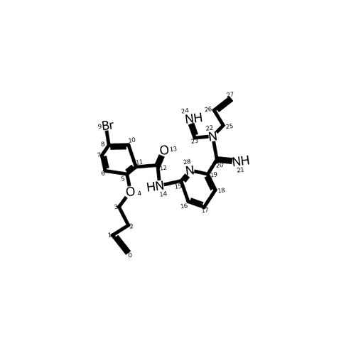 C=CCCOc1ccc(Br)cc1C(=O)Nc1cccc(C(=N)N(C=N)CC=C)n1